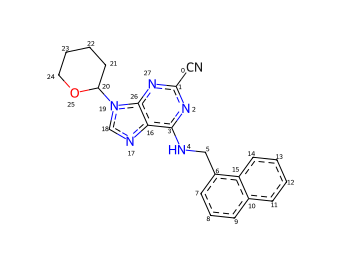 N#Cc1nc(NCc2cccc3ccccc23)c2ncn(C3CCCCO3)c2n1